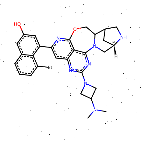 CCc1cccc2cc(O)cc(-c3cc4nc(N5CC(N(C)C)C5)nc5c4c(n3)OCC3C4CN[C@@H](C4)CN53)c12